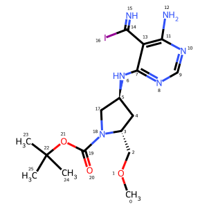 COC[C@H]1C[C@H](Nc2ncnc(N)c2C(=N)I)CN1C(=O)OC(C)(C)C